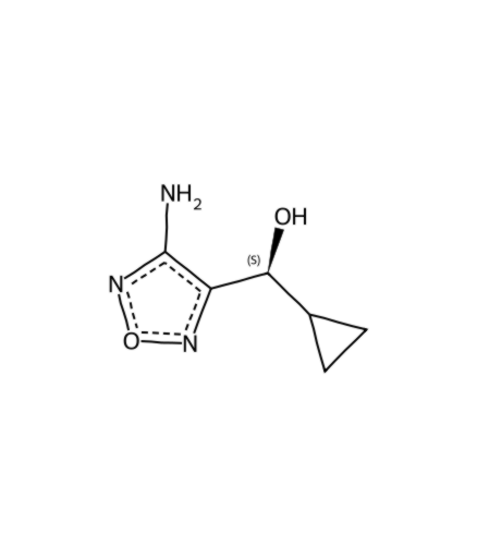 Nc1nonc1[C@@H](O)C1CC1